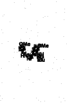 COc1ccc(CCNc2nccc(-c3cc(NC(=O)OC(C)(C)C)c4cc(OC)ccc4c3)n2)cc1